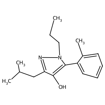 CCCn1nc(CC(C)C)c(O)c1-c1ccccc1C